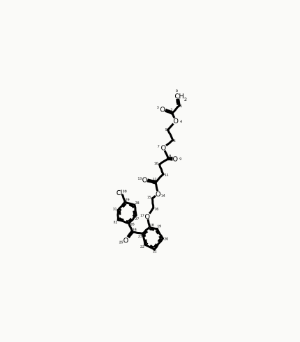 C=CC(=O)OCCOC(=O)CCC(=O)OCCOc1ccccc1C(=O)c1ccc(Cl)cc1